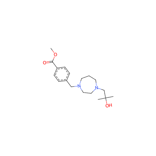 COC(=O)c1ccc(CN2CCCN(CC(C)(C)O)CC2)cc1